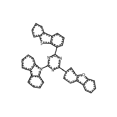 c1ccc2c(c1)oc1cc(-c3nc(-c4cccc5c4sc4ccccc45)nc(-n4c5ccccc5c5ccccc54)n3)ccc12